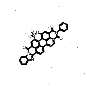 O=C1c2ccc3c4ccc5c6c(cc7c(c8c(cc(c2c38)C(=O)N1c1ccccc1)OS7(=O)=O)c46)c(=O)n1c2ccccc2nc51